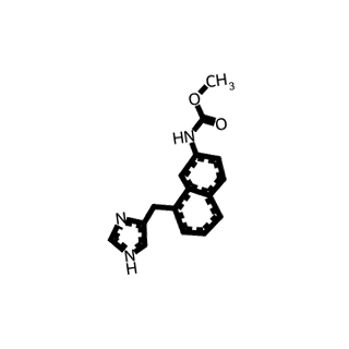 COC(=O)Nc1ccc2cccc(Cc3c[nH]cn3)c2c1